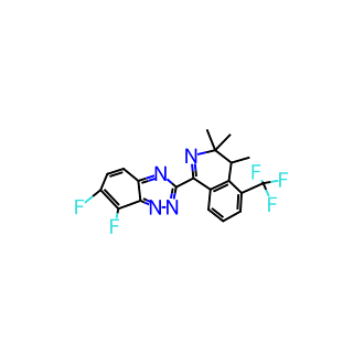 CC1c2c(cccc2C(F)(F)F)C(c2nnc3c(F)c(F)ccc3n2)=NC1(C)C